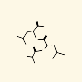 CC(C)C[C@H](NC(=O)[C@H](CC(C)C)NC(=O)C(C)C)C(=O)O